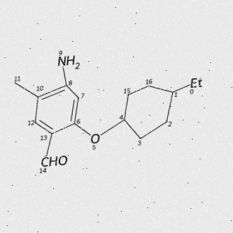 CCC1CCC(Oc2cc(N)c(C)cc2C=O)CC1